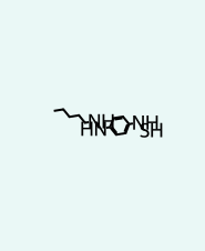 CCCCCNNc1ccc(NS)cc1